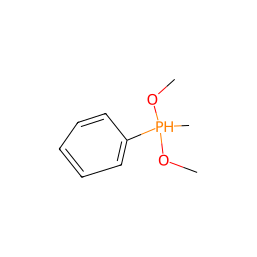 CO[PH](C)(OC)c1ccccc1